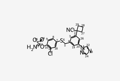 N#CC1(c2cc(CSc3ccc(OS(N)(=O)=O)c(Cl)c3)cc(-n3cncn3)c2)CCC1